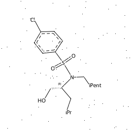 CCCC(C)CN([C@@H](CO)CC(C)C)S(=O)(=O)c1ccc(Cl)cc1